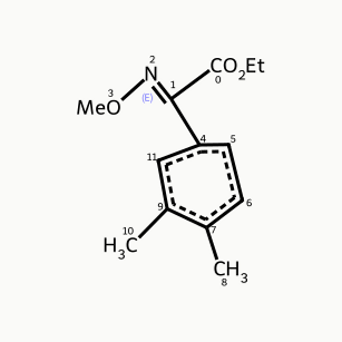 CCOC(=O)/C(=N/OC)c1ccc(C)c(C)c1